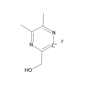 CC1=N[C+]=C(CO)N=C1C.[I-]